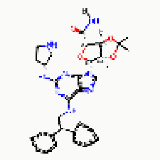 CCNC(=O)[C@H]1O[C@@H](n2cnc3c(NCC(c4ccccc4)c4ccccc4)nc(NC4CCNC4)nc32)[C@@H]2OC(C)(C)O[C@@H]21